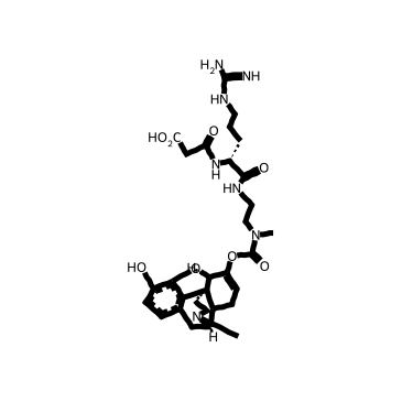 CN(CCNC(=O)[C@@H](CCCNC(=N)N)NC(=O)CC(=O)O)C(=O)OC1=CCC2[C@H]3Cc4ccc(O)c5c4[C@@]2(CCN3C)[C@H]1O5